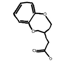 [O]C(=O)CC1COc2ccccc2O1